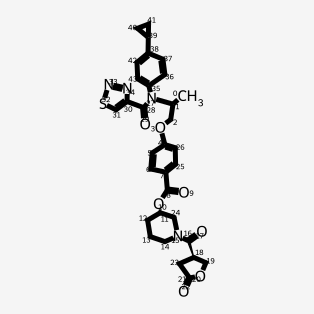 CC(COc1ccc(C(=O)O[C@H]2CCCN(C(=O)[C@H]3COC(=O)C3)C2)cc1)N(C(=O)c1csnn1)c1ccc(C2CC2)cc1